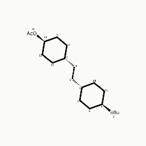 CCCC[C@H]1CC[C@H](CC[C@H]2CC[C@H](OC(C)=O)CC2)CC1